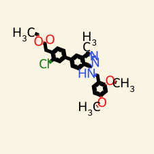 CCOC(=O)Cc1ccc(-c2ccc3c(NCc4ccc(OC)cc4OC)nnc(C)c3c2)cc1Cl